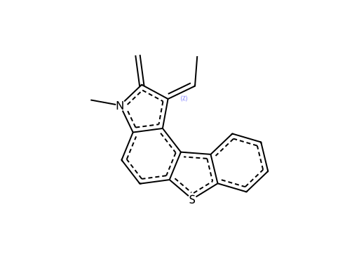 C=c1/c(=C\C)c2c3c(ccc2n1C)sc1ccccc13